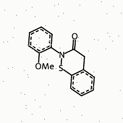 COc1ccccc1N1Sc2ccccc2CC1=O